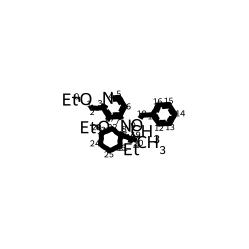 CCOCc1nccc(N(OCc2ccccc2)C2(C(C)(C)CC)CCCCC2)c1OCC